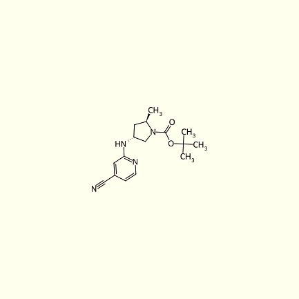 C[C@@H]1C[C@@H](Nc2cc(C#N)ccn2)CN1C(=O)OC(C)(C)C